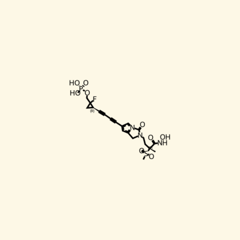 C[C@@](CCN1Cc2cc(C#CC#C[C@H]3CC3(F)COP(=O)(O)O)cn2C1=O)(C(=O)NO)S(C)(=O)=O